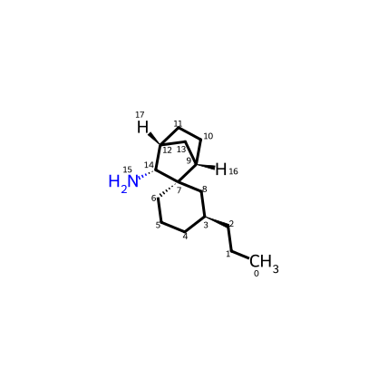 CCC[C@H]1CCC[C@@]2(C1)[C@H]1CC[C@H](C1)[C@H]2N